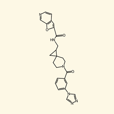 O=C(NCC1CC12CCN(C(=O)c1cccc(-n3cnnc3)c1)CC2)c1cc2ccncc2o1